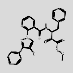 CONC(=O)C(=O)C(Cc1ccccc1)NC(=O)c1cccnc1-n1cc(Cl)c(-c2ccccc2)n1